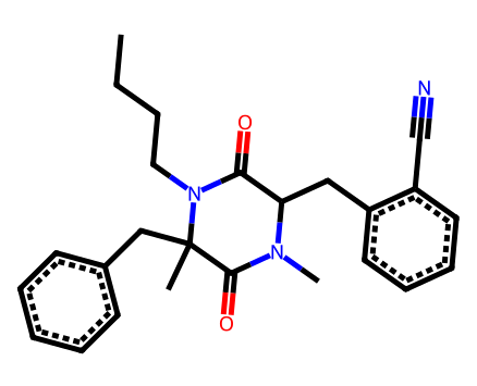 CCCCN1C(=O)C(Cc2ccccc2C#N)N(C)C(=O)C1(C)Cc1ccccc1